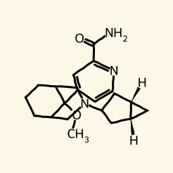 COC1(c2ccnc(C(N)=O)c2)C2CCCC1CN(C1C[C@@H]3C[C@@H]3C1)C2